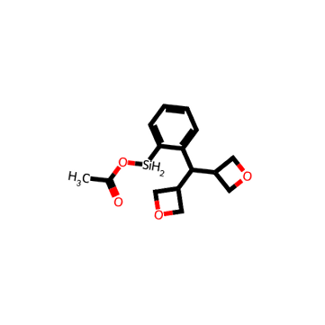 CC(=O)O[SiH2]c1ccccc1C(C1COC1)C1COC1